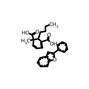 CCCCC1C(C(=O)O)=CC=CC1(C)C(=O)O.c1ccc(-c2cc3ccccc3o2)cc1